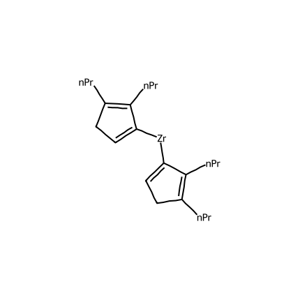 CCCC1=C(CCC)[C]([Zr][C]2=CCC(CCC)=C2CCC)=CC1